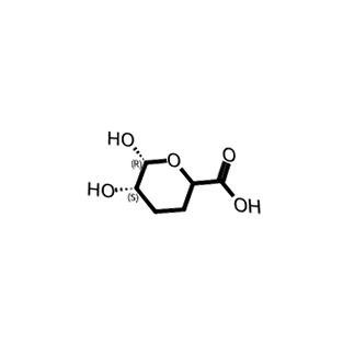 O=C(O)C1CC[C@H](O)[C@H](O)O1